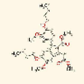 CCCCOc1ccc(C2c3cc(OCCCC)c(OC)cc3C(CC(=O)OC)C2C(=O)OC)cc1OC